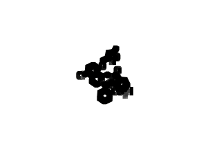 Cc1cc(COc2ccc(Cl)c3c2[C@@H](CN2Cc4ccccc4C2=O)N(C(=O)C2CCCC[C@H]2C(=O)O)CC3)no1